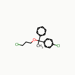 CC(OCCCCl)(c1ccccc1)c1ccc(Cl)cc1